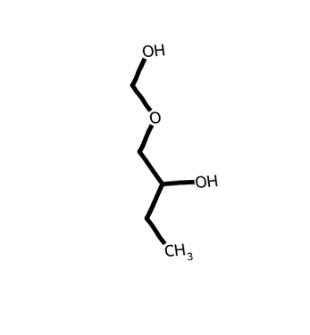 CCC(O)COCO